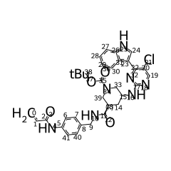 C=CC(=O)Nc1ccc(CNC(=O)[C@@H]2CC(Nc3ncc(Cl)c(-c4c[nH]c5ccccc45)n3)CN(C(=O)OC(C)(C)C)C2)cc1